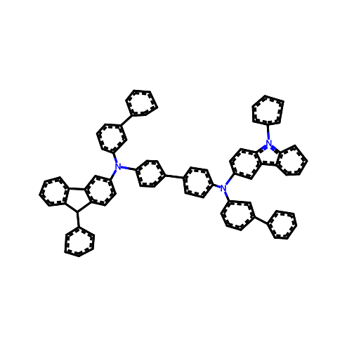 c1ccc(-c2cccc(N(c3ccc(-c4ccc(N(c5cccc(-c6ccccc6)c5)c5ccc6c(c5)c5ccccc5n6-c5ccccc5)cc4)cc3)c3ccc4c(c3)-c3ccccc3C4c3ccccc3)c2)cc1